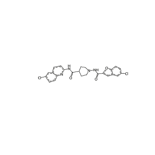 O=C(NN1CCC(C(=O)Nc2ccc3cc(Cl)ccc3n2)CC1)c1cc2cc(Cl)ccc2o1